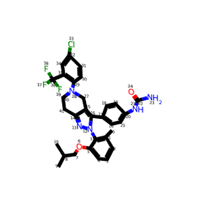 Cc1cccc(OCC(C)C)c1-n1nc2c(c1-c1ccc(NC(N)=O)cc1)CN(c1ccc(Cl)cc1C(F)(F)F)CC2